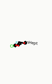 CCCCCCCC1CCC(CCc2ccc3c(F)c(-c4ccc(Cl)cc4)ccc3c2)CC1